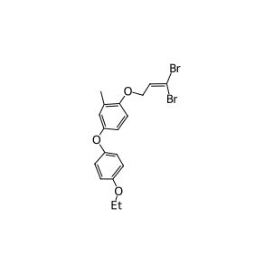 CCOc1ccc(Oc2ccc(OCC=C(Br)Br)c(C)c2)cc1